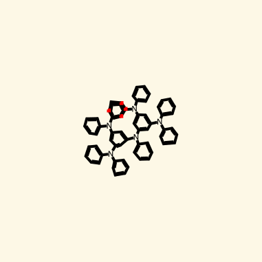 c1ccc(N(c2ccccc2)c2cc(N(c3ccccc3)c3ccccc3)cc(N(c3ccccc3)c3cc(N(c4ccccc4)c4ccccc4)cc(N(c4ccccc4)c4ccccc4)c3)c2)cc1